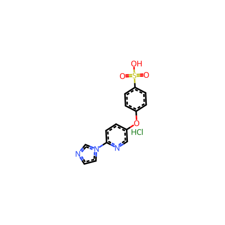 Cl.O=S(=O)(O)c1ccc(Oc2ccc(-n3ccnc3)nc2)cc1